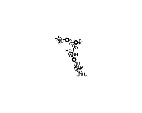 CCOP(=O)(OCC)OCc1ccc(NC(=O)c2ccc(C(F)(F)F)cc2OC(=O)CC[C@H](NC(=O)c2ccc(NCc3cnc4[nH]c(N)nc(=O)c4n3)cc2)C(=O)O)cc1